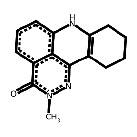 Cn1nc2c3c(cccc3c1=O)NC1=C2CCCC1